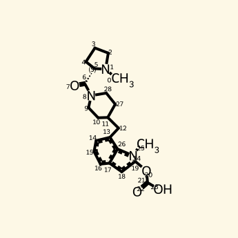 CN1CCC[C@H]1C(=O)N1CCC(Cc2cccc3cc(OC(=O)O)n(C)c23)CC1